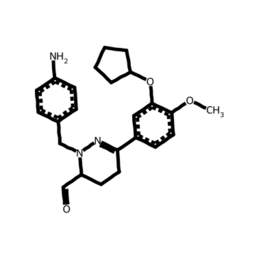 COc1ccc(C2=NN(Cc3ccc(N)cc3)C(C=O)CC2)cc1OC1CCCC1